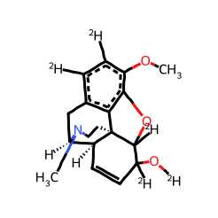 [2H]OC1([2H])C=C[C@H]2[C@H]3Cc4c([2H])c([2H])c(OC)c5c4[C@@]2(CCN3C)C1([2H])O5